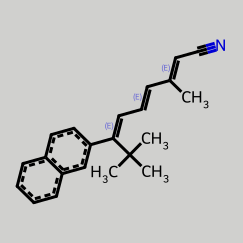 CC(/C=C/C=C(/c1ccc2ccccc2c1)C(C)(C)C)=C\C#N